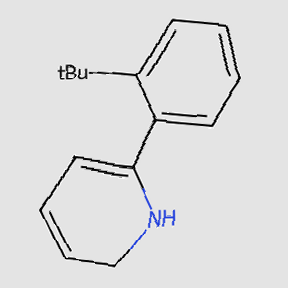 CC(C)(C)c1ccccc1C1=CC=CCN1